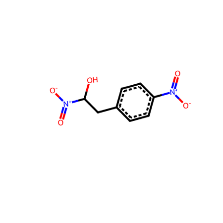 O=[N+]([O-])c1ccc(CC(O)[N+](=O)[O-])cc1